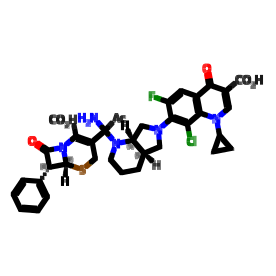 CC(=O)C(N)(C1=C(C(=O)O)N2C(=O)[C@@H](c3ccccc3)[C@H]2SC1)N1CCC[C@H]2CN(c3c(F)cc4c(=O)c(C(=O)O)cn(C5CC5)c4c3Cl)C[C@H]21